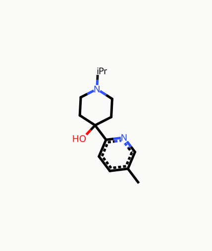 Cc1ccc(C2(O)CCN(C(C)C)CC2)nc1